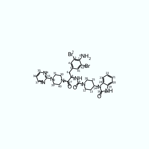 Nc1c(Br)cc(C[C@@H](NC(=O)N2CCC(n3c(=O)[nH]c4ccccc43)CC2)C(=O)N2CCN(c3ncccn3)CC2)cc1Br